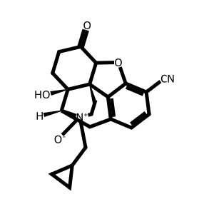 N#Cc1ccc2c3c1OC1C(=O)CC[C@@]4(O)[C@@H](C2)[N+]([O-])(CC2CC2)CC[C@]314